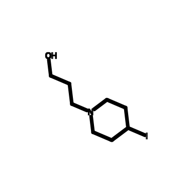 OCCCN1CCC(I)CC1